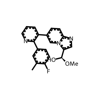 CO[C@@H](O)c1cnc2ccc(-c3cccnc3-c3ccc(F)c(C)c3)cn12